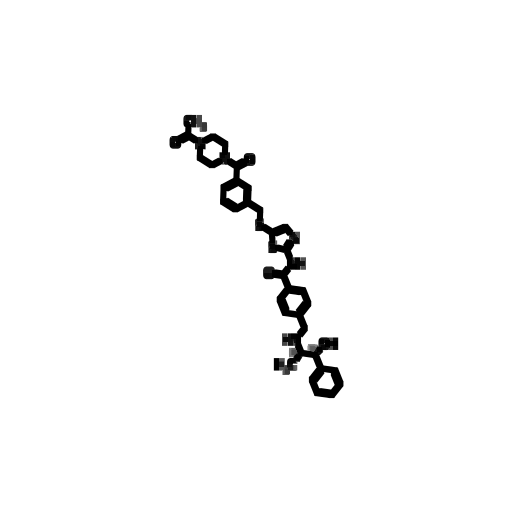 CC(=O)N1CCN(C(=O)c2cccc(CSc3cnc(NC(=O)c4ccc(CN[C@H](C)[C@@H](O)c5ccccc5)cc4)s3)c2)CC1